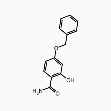 NC(=O)c1ccc(OCc2ccccc2)cc1O